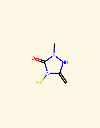 C=C1NN(C)C(=O)N1S